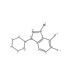 Fc1c(I)ccc2c1c(Br)nn2C1CCCCO1